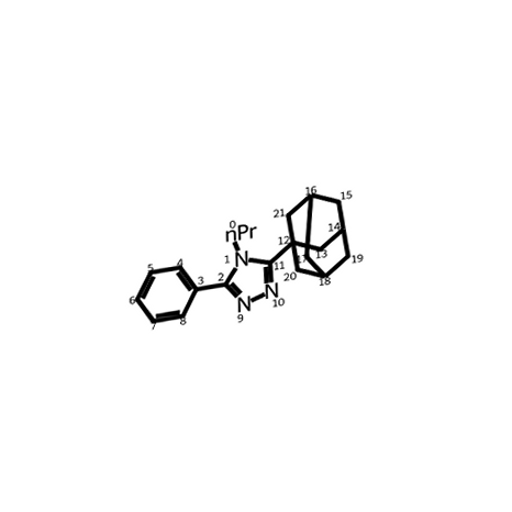 CCCn1c(-c2ccccc2)nnc1C12CC3CC(CC(C3)C1)C2